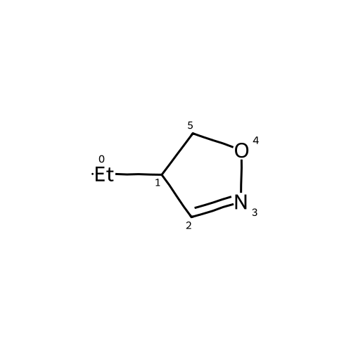 C[CH]C1C=NOC1